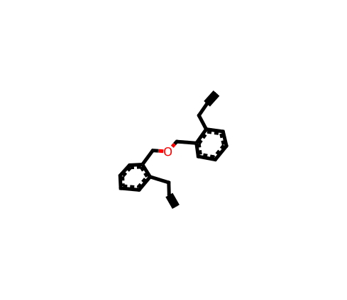 C#CCc1ccccc1COCc1ccccc1CC#C